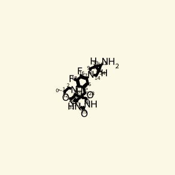 C[C@@H]1CN2c3c(cc(N4C[C@@H]5[C@@H](N)[C@@H]5C4)c(F)c3F)CC3(C(=O)NC(=O)NC3=O)[C@H]2[C@H](C)O1